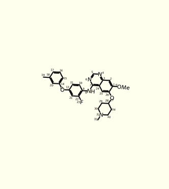 COc1cc2ncnc(Nc3ccc(Oc4cccc(C)c4)cc3F)c2cc1OC1CCN(C)CC1